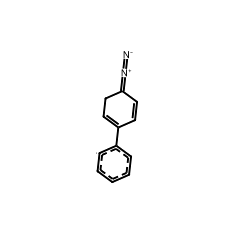 [N-]=[N+]=C1C=CC(c2[c]cccc2)=CC1